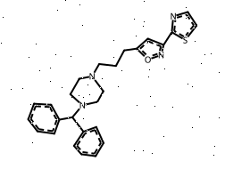 c1ccc(C(c2ccccc2)N2CCN(CCCc3cc(-c4nccs4)no3)CC2)cc1